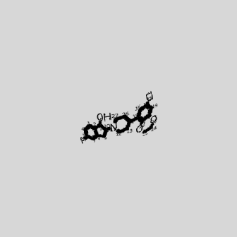 OC1c2ccc(F)cc2CC1N1CCC(c2cc(Cl)cc3c2OCCO3)CC1